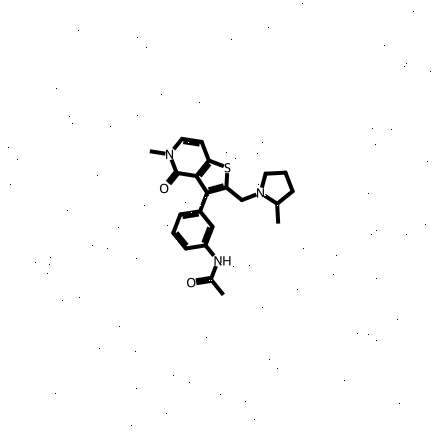 CC(=O)Nc1cccc(-c2c(CN3CCCC3C)sc3ccn(C)c(=O)c23)c1